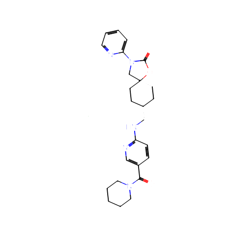 Cl.O=C(c1ccc(NC[C@H]2CC[C@]3(CC2)CN(c2ccccn2)C(=O)O3)nc1)N1CCCCC1